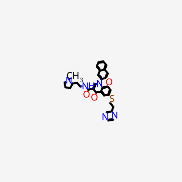 CN1CCCC1CCNC(=O)c1cn2c3c(cc(SCCc4cnccn4)cc3c1=O)Oc1cc3ccccc3cc1-2